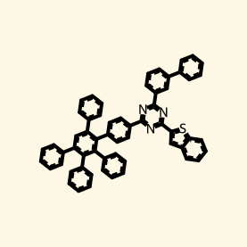 c1ccc(-c2cccc(-c3nc(-c4ccc(-c5c(-c6ccccc6)cc(-c6ccccc6)c(-c6ccccc6)c5-c5ccccc5)cc4)nc(-c4cc5ccccc5s4)n3)c2)cc1